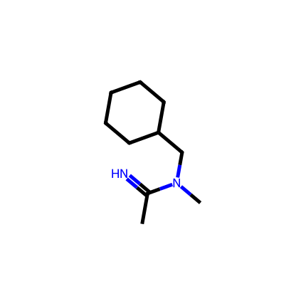 CC(=N)N(C)CC1CCCCC1